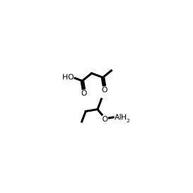 CC(=O)CC(=O)O.CCC(C)[O][AlH2]